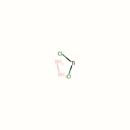 BB.[Cl][Ti][Cl]